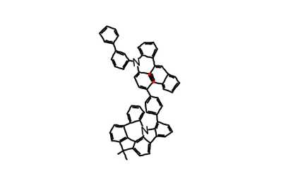 CC1(C)c2cccc3c2-c2c1ccc1c4cccc(-c5ccc(-c6ccc(N(c7cccc(-c8ccccc8)c7)c7ccccc7-c7ccc8ccccc8c7)cc6)cc5)c4n(c21)-c1ccccc1-3